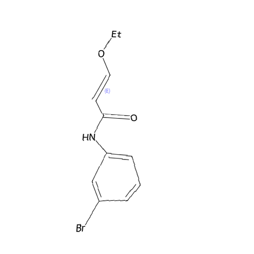 CCO/C=C/C(=O)Nc1cccc(Br)c1